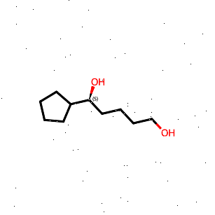 OCCCC[C@H](O)C1CCCC1